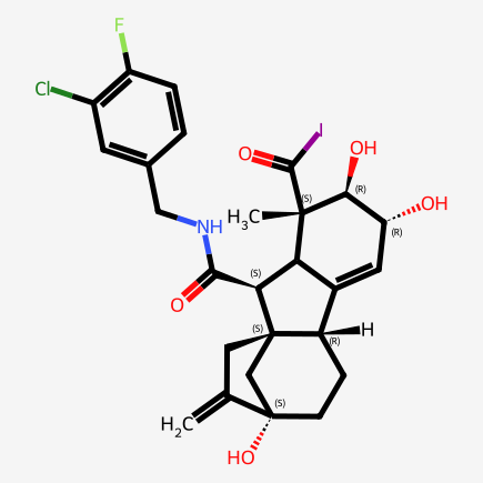 C=C1C[C@]23C[C@@]1(O)CC[C@H]2C1=C[C@@H](O)[C@H](O)[C@@](C)(C(=O)I)C1[C@@H]3C(=O)NCc1ccc(F)c(Cl)c1